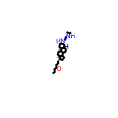 CCCC(=O)CCC[C@H]1CCC2C3CC[C@H]4CC(NCCNC(C)C)CC[C@]4(C)C3CC[C@@]21C